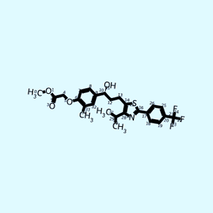 COC(=O)COc1ccc([C@H](O)CCc2sc(-c3ccc(C(F)(F)F)cc3)nc2C(C)C)cc1C